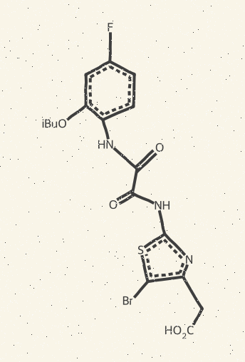 CC(C)COc1cc(F)ccc1NC(=O)C(=O)Nc1nc(CC(=O)O)c(Br)s1